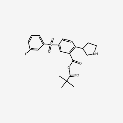 CC(C)(C)C(=O)OC(=O)c1cc(S(=O)(=O)c2cccc(F)c2)ccc1C1CCNC1